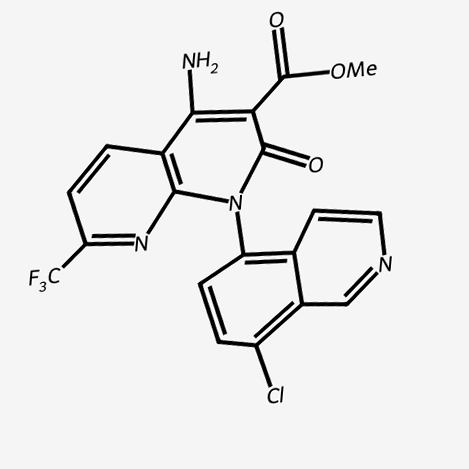 COC(=O)c1c(N)c2ccc(C(F)(F)F)nc2n(-c2ccc(Cl)c3cnccc23)c1=O